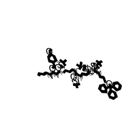 C=CC=C[C@H](C)[C@H](OCc1ccc(OC)cc1)[C@@H](C)[C@@H](CCCC[C@H](C)[C@@H](O[Si](C)(C)C(C)(C)C)[C@@H](C)C=C[C@H](C[C@H](O[Si](C)(C)C(C)(C)C)[C@H](C)C=CCOC(c1ccccc1)(c1ccccc1)c1ccccc1)O[Si](C)(C)C(C)(C)C)O[Si](C)(C)C(C)(C)C